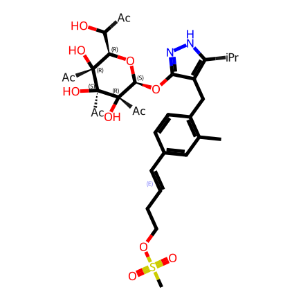 CC(=O)C(O)[C@H]1O[C@@H](Oc2n[nH]c(C(C)C)c2Cc2ccc(/C=C/CCOS(C)(=O)=O)cc2C)[C@@](O)(C(C)=O)[C@](O)(C(C)=O)[C@@]1(O)C(C)=O